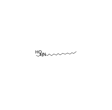 CCCCCCCCCCCCCCNCC(O)CC